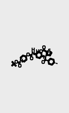 CC(C)(C)OC(=O)N1CCC(OC(=O)NC2CCC(N(c3ccsc3C(=O)O)C(=O)[C@H]3CC[C@H](C)CC3)CC2)CC1